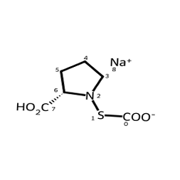 O=C([O-])SN1CCC[C@H]1C(=O)O.[Na+]